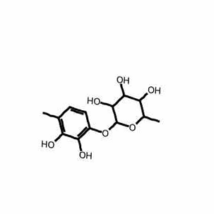 Cc1ccc(OC2OC(C)C(O)C(O)C2O)c(O)c1O